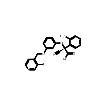 Cc1ccccc1[C@@](C#N)(Oc1cccc(OCc2ccncc2F)c1)C(=O)O